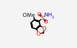 COc1ccc2c(c1S(N)(=O)=O)OCO2